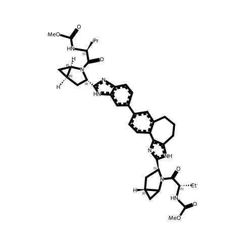 CC[C@H](NC(=O)OC)C(=O)N1C2C[C@@H]2C[C@H]1c1nc2c([nH]1)CCCc1cc(-c3ccc4nc([C@@H]5C[C@H]6C[C@H]6N5C(=O)[C@@H](NC(=O)OC)C(C)C)[nH]c4c3)ccc1-2